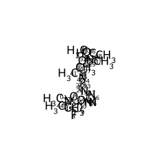 CCN(C(=O)c1cc(F)ccc1Oc1nncnc1N1CCC2(C1)CN(C(CCCN(C(=O)OC)C(C)(C)C)C(C)C)C2)C(C)C